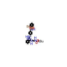 CC(C)(C)OC(=O)NCCNc1nc(NC[C@H]2CC[C@H](CNS(=O)(=O)c3ccccc3Br)CC2)nc2ccccc12